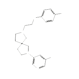 Oc1cncc(N2CCC3(CCN(CCOc4ccc(Cl)cc4)C3)C2)c1